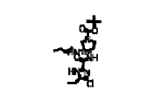 CCCCN[C@H]1CN(C(=O)OC(C)(C)C)CC[C@@H]1NC(=O)c1nc(Cl)c(CC)[nH]1